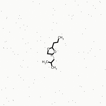 CCCC1OC[C@@H](CC(C)C)O1